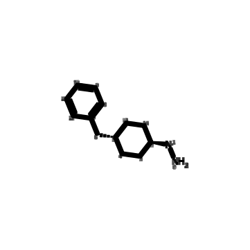 N[N][C@H]1CC[C@H](Cc2ccccc2)CC1